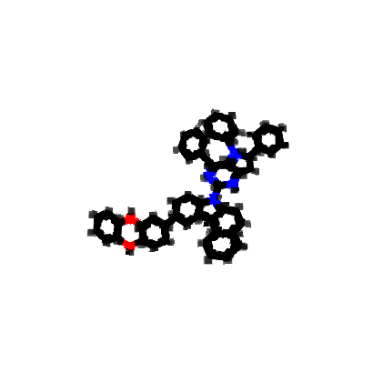 c1ccc(-c2nc(-n3c4ccc(-c5ccc6c(c5)Oc5ccccc5O6)cc4c4c5ccccc5ccc43)nc3cc(-c4ccccc4)n(-c4ccccc4)c23)cc1